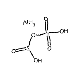 O=S(O)OS(=O)(=O)O.[AlH3]